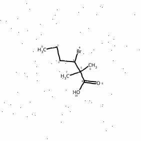 CCCC(Br)C(C)(C)C(=O)O